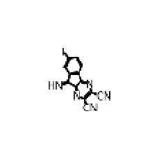 N#Cc1nc2c(nc1C#N)-c1ccc(I)cc1C2=N